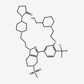 CS(=O)(=O)N1CCc2c(c(-c3ccc(C(F)(F)F)c(SCCN4CCCC(CO)C4)c3)nn2CCCN2CCC(N3CCCC3=O)CC2)C1